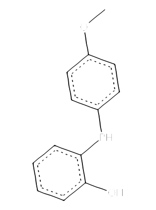 COc1ccc(Pc2ccccc2O)cc1